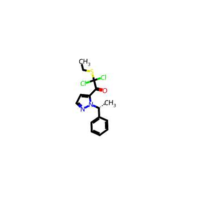 CCSC(Cl)(Cl)C(=O)c1ccnn1[C@H](C)c1ccccc1